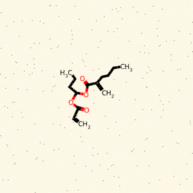 C=CC(=O)OC(CCC)OC(=O)C(=C)CCCC